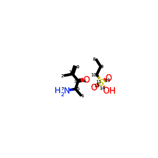 C=C(C)C(=O)C(C)N.CCCS(=O)(=O)O